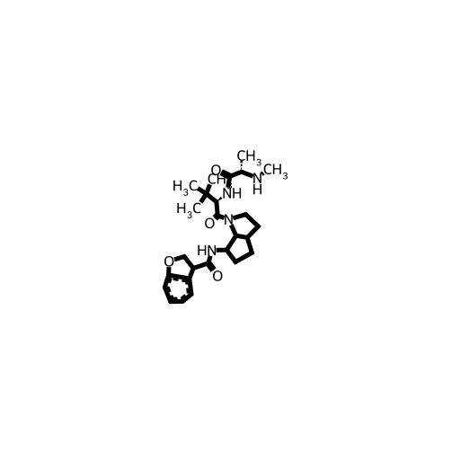 CN[C@@H](C)C(=O)N[C@H](C(=O)N1CCC2CCC(NC(=O)C3COc4ccccc43)C21)C(C)(C)C